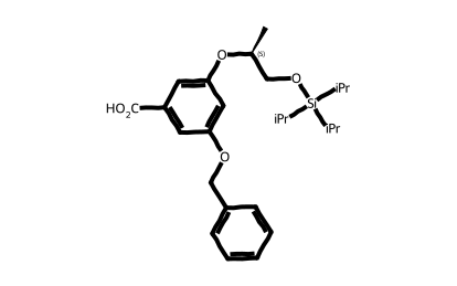 CC(C)[Si](OC[C@H](C)Oc1cc(OCc2ccccc2)cc(C(=O)O)c1)(C(C)C)C(C)C